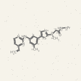 C=Cc1ccnc(Nc2cc(C)cc(-c3cnc(N(C)CC(=O)NCCC)s3)c2)n1